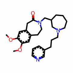 COc1cc2c(cc1OC)CC(=O)N(CC1CCCCN(CCCc3cccnc3)C1)CC2